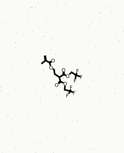 C=C(C)C(=O)OCCC(C(=O)OCC(F)(F)F)C(=O)OCC(F)(F)F